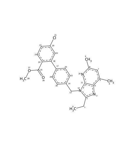 CCc1nc2c(C)cc(C)nc2n1Cc1ccc(-c2cc(Cl)ccc2C(=O)OC)cc1